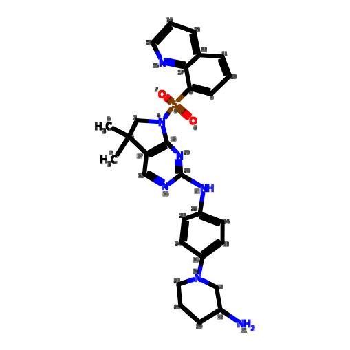 CC1(C)CN(S(=O)(=O)c2cccc3cccnc23)c2nc(Nc3ccc(N4CCCC(N)C4)cc3)ncc21